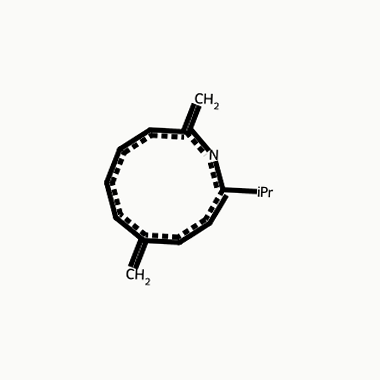 C=c1ccccc(=C)nc(C(C)C)cc1